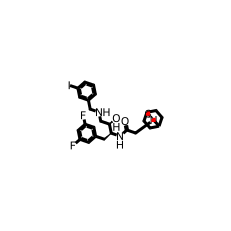 O=C(CN1CC2CCC(CC2)C1)N[C@@H](Cc1cc(F)cc(F)c1)[C@H](O)CNCc1cccc(I)c1